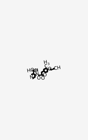 C#CCOc1cc2oc(=O)c(C(=O)Nc3ccncc3C(=O)O)cc2cc1C